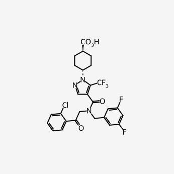 O=C(CN(Cc1cc(F)cc(F)c1)C(=O)c1cnn([C@H]2CC[C@H](C(=O)O)CC2)c1C(F)(F)F)c1ccccc1Cl